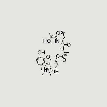 Cc1ccc(O)c2c1C13CCN(C)[C@H](C)[C@]1(O)CC=C(OC(=O)[C@H](C)OC(=O)[C@H](CC(C)C)NC(=O)[C@H](C)O)C3O2